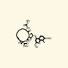 COC(=O)[C@@]12C[C@H]1/C=C\CCCCC[C@H](NC(=O)OC(C)(C)C)C(=O)N1C[C@H](Oc3cc(OC(C)C)nc4c(C)c(OC)ccc34)C[C@H]1C(=O)N2